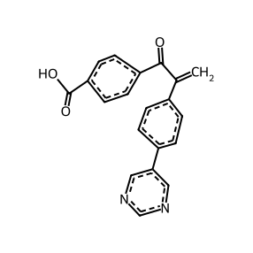 C=C(C(=O)c1ccc(C(=O)O)cc1)c1ccc(-c2cncnc2)cc1